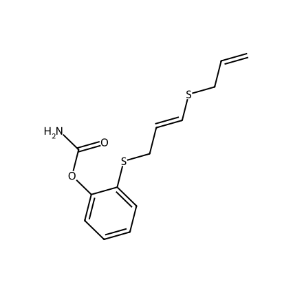 C=CCSC=CCSc1ccccc1OC(N)=O